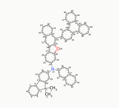 CC1(C)c2ccccc2-c2ccc(N(c3ccc4ccccc4c3)c3ccc4c(c3)oc3c(-c5ccc6c7ccccc7c7ccccc7c6c5)c5ccccc5cc34)cc21